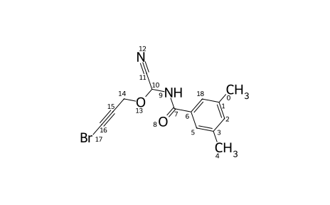 Cc1cc(C)cc(C(=O)NC(C#N)OCC#CBr)c1